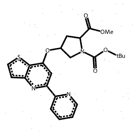 COC(=O)C1CC(Oc2cc(-c3ccccn3)nc3ccsc23)CN1C(=O)OC(C)(C)C